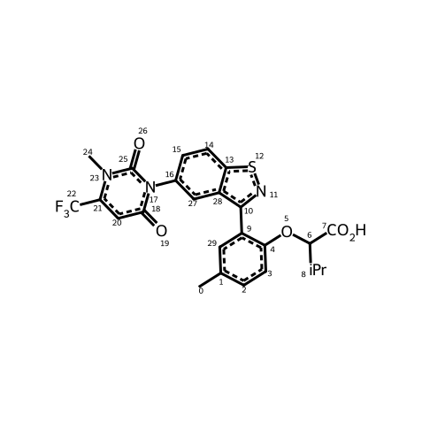 Cc1ccc(OC(C(=O)O)C(C)C)c(-c2nsc3ccc(-n4c(=O)cc(C(F)(F)F)n(C)c4=O)cc23)c1